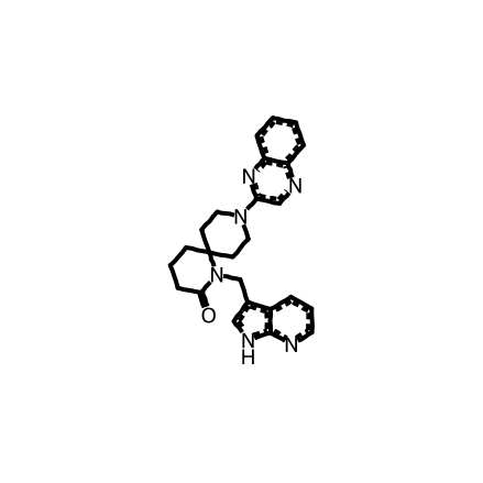 O=C1CCCC2(CCN(c3cnc4ccccc4n3)CC2)N1Cc1c[nH]c2ncccc12